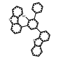 N#Cc1c(-c2ccccc2)cc(-c2cccc3c2oc2ccccc23)cc1-c1cccc2sc3ccccc3c12